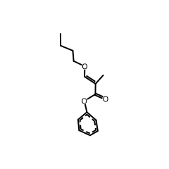 CCCCOC=C(C)C(=O)Oc1ccccc1